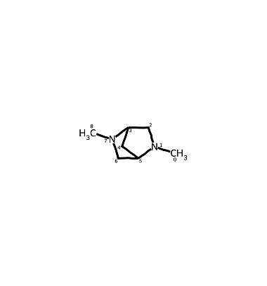 CN1CC2CC1CN2C